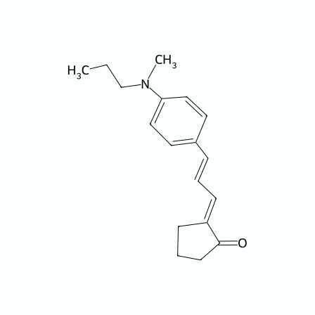 CCCN(C)c1ccc(/C=C/C=C2\CCCC2=O)cc1